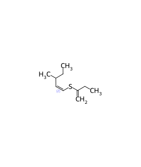 C=C(CC)S/C=C\C(C)CC